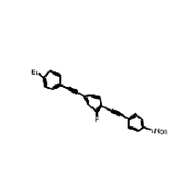 CCCCCCCCCc1ccc(C#Cc2ccc(C#Cc3ccc(CC)cc3)cc2F)cc1